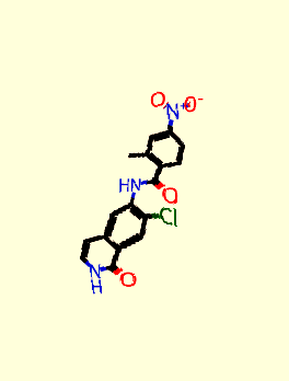 Cc1cc([N+](=O)[O-])ccc1C(=O)Nc1cc2cc[nH]c(=O)c2cc1Cl